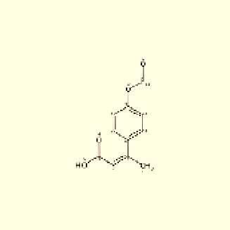 C/C(=C/C(=O)O)c1ccc(OP=O)cc1